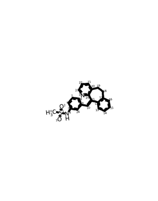 CS(=O)(=O)Nc1cccc(C=C2c3ccccc3CCc3cccnc32)c1